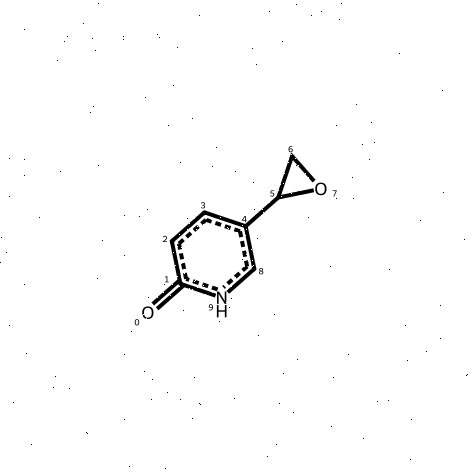 O=c1ccc(C2CO2)c[nH]1